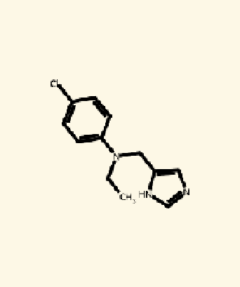 CCN(Cc1cnc[nH]1)c1ccc(Cl)cc1